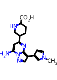 Cn1ccc(-c2cnn3c(N)cc(C4CCC(C(=O)O)NC4)nc23)c1